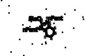 CCCCCN1c2ccccc2N(CCCCC)C1OC